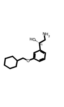 NC[C@@H](O)c1cccc(OCC2CCCCC2)c1